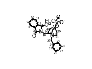 CS(=O)(=O)[O-].O=C1c2ccccc2C(=O)N1CC1CN2CC[N+]1(Cc1ccccc1)CC2